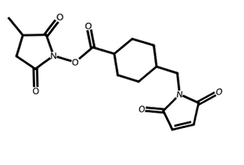 CC1CC(=O)N(OC(=O)C2CCC(CN3C(=O)C=CC3=O)CC2)C1=O